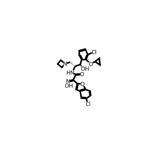 O=C(N[C@H](CN1CCC1)[C@H](O)c1cccc(Cl)c1OC1CC1)/C(=N/O)c1cc2cc(Cl)ccc2o1